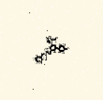 CCc1nnnn1-c1cc(OC(=O)NCc2cccnc2)cc(-c2ccc(C)cc2)c1